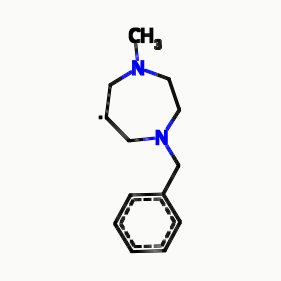 CN1C[CH]CN(Cc2ccccc2)CC1